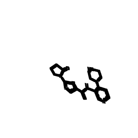 C=C(Nc1cnccc1N1CCNCC1)c1csc(N2CCCC2=O)n1